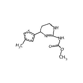 COC(=O)NC1=NC(c2cc(C)cs2)CCN1